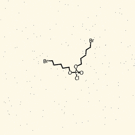 O=P(Cl)(OCCCCCBr)OCCCCCBr